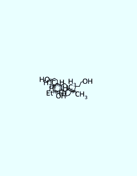 CC[C@H]1[C@@H](O)[C@@H]2[C@H](CC[C@]3(C)[C@@H]([C@H](C)CCCO)CC[C@@H]23)[C@@]2(C)CC[C@@H](O)C[C@@H]12